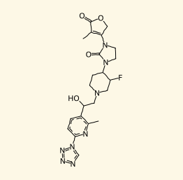 CC1=C(N2CCN(C3CCN(CC(O)c4ccc(-n5cnnn5)nc4C)CC3F)C2=O)COC1=O